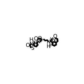 C[C@H]1[C@H](NCCC[C@@H]2CN(c3ccc4c(n3)NC(=O)CS4)C(=O)O2)c2c(F)ccc3ccc(=O)n1c23